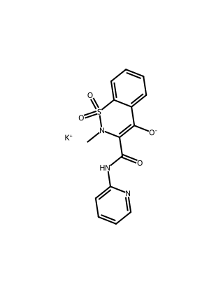 CN1C(C(=O)Nc2ccccn2)=C([O-])c2ccccc2S1(=O)=O.[K+]